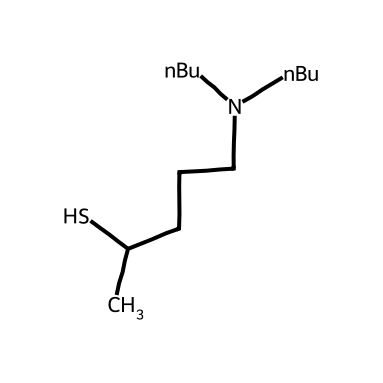 CCCCN(CCCC)CCCC(C)S